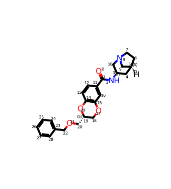 O=C(N[C@@H]1C[C@@H]2CCN(C2)C1)c1ccc2c(c1)OC[C@H](COCc1ccccc1)O2